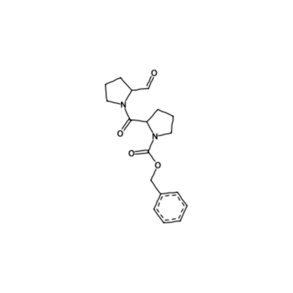 O=CC1CCCN1C(=O)C1CCCN1C(=O)OCc1ccccc1